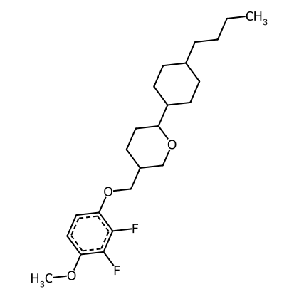 CCCCC1CCC(C2CCC(COc3ccc(OC)c(F)c3F)CO2)CC1